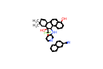 CC1(C)C=CC2=C(C1)C(O)(C(F)(F)F)C(Nc1cccnc1)c1c2ccc2c(O)cccc12.N#Cc1ccc2ccccc2c1